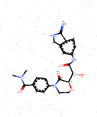 CN(C)C(=O)c1ccc(N2CCO[C@H]([C@@H](O)C(=O)Nc3ccc4c(c3)CNC4=N)C2=O)cc1